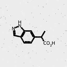 CC(C(=O)O)c1ccc2cn[nH]c2c1